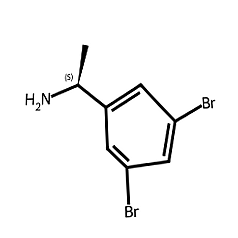 C[C@H](N)c1cc(Br)cc(Br)c1